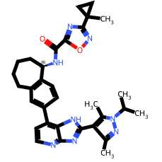 Cc1nn(C(C)C)c(C)c1-c1nc2nccc(-c3ccc4c(c3)CCCC[C@H]4NC(=O)c3nc(C4(C)CC4)no3)c2[nH]1